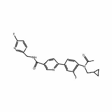 CC(=O)N(CC1CC1)c1ccc(-c2ccc(C(=O)NCc3ccc(F)nc3)cn2)cc1F